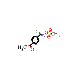 COC(=O)c1ccc(C(Cl)=NOS(C)(=O)=O)cc1